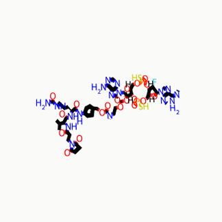 C=Nc1c(/C(N)=N\C)ncn1[C@@H]1O[C@@H]2CO[P@@](=O)(S)O[C@@H]3[C@@H](CO[P@@](=O)(S)O[C@H]2[C@H]1F)OC(n1cnc2c(N)ncnc21)[C@@H]3OC(=O)OCCN(C)C(=O)OCc1ccc(NC(=O)[C@H](CCCNC(N)=O)NC(=O)[C@@H](NC(=O)CCN2C(=O)C=CC2=O)C(C)C)cc1